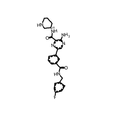 Nc1ncc(-c2cccc(C(=O)NCc3ccc(F)cc3)c2)nc1C(=O)N[C@H]1CCCNC1